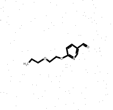 CCCOCCOc1ccc(C=O)cn1